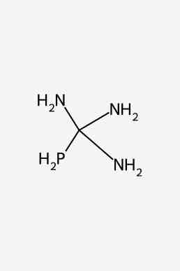 NC(N)(N)P